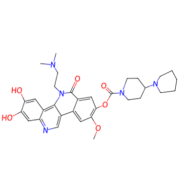 COc1cc2c(cc1OC(=O)N1CCC(N3CCCCC3)CC1)c(=O)n(CCN(C)C)c1c3cc(O)c(O)cc3ncc21